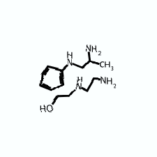 CC(N)CNc1ccccc1.NCCNCCO